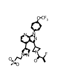 C=C(F)C(=O)N1CC(c2nn(-c3ccc(OC(F)(F)F)cc3)c3nccc(-c4cnn(CCS(C)(=O)=O)c4)c23)C1